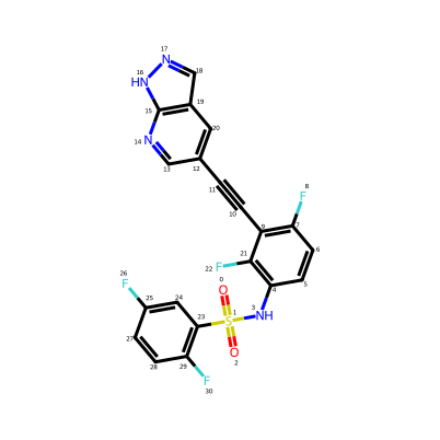 O=S(=O)(Nc1ccc(F)c(C#Cc2cnc3[nH]ncc3c2)c1F)c1cc(F)ccc1F